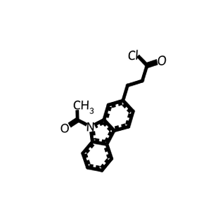 CC(=O)n1c2ccccc2c2ccc(CCC(=O)Cl)cc21